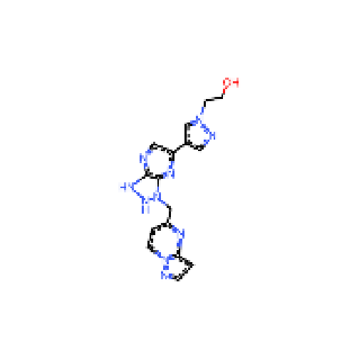 OCCn1cc(-c2cnc3c(n2)N(Cc2ccn4nccc4n2)NN3)cn1